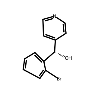 O[C@@H](c1ccncc1)c1ccccc1Br